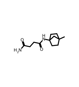 CC12CCC(NC(=O)CCC(N)=O)(CC1)C2